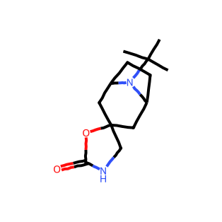 CC(C)(C)N1C2CCC1CC1(CNC(=O)O1)C2